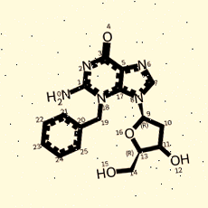 Nc1nc(=O)c2ncn([C@H]3CC(O)[C@@H](CO)O3)c2n1Cc1ccccc1